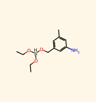 CCO[SiH](OCC)OCc1cc(C)cc(N)c1